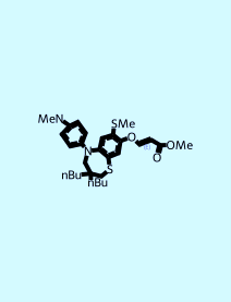 CCCCC1(CCCC)CSc2cc(O/C=C/C(=O)OC)c(SC)cc2N(c2ccc(NC)cc2)C1